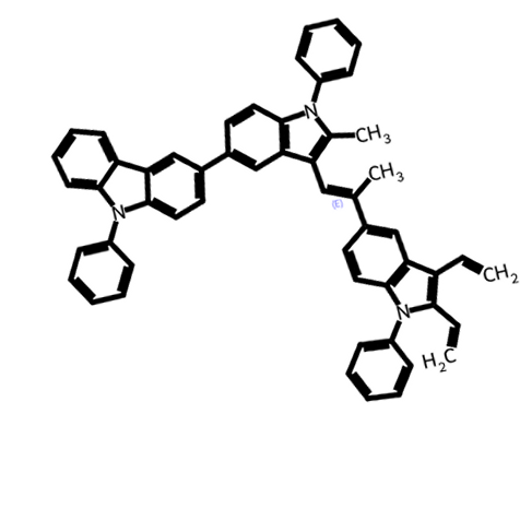 C=Cc1c(C=C)n(-c2ccccc2)c2ccc(/C(C)=C/c3c(C)n(-c4ccccc4)c4ccc(-c5ccc6c(c5)c5ccccc5n6-c5ccccc5)cc34)cc12